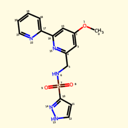 COc1cc(CNS(=O)(=O)c2cc[nH]n2)nc(-c2ccccn2)c1